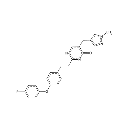 Cn1cc(Cc2c[nH]c(CCc3ccc(Oc4ccc(F)cc4)cc3)nc2=O)cn1